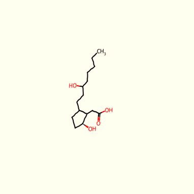 CCCCCC(O)CCC1CC[C@H](O)C1CC(=O)O